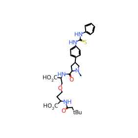 CN1CC(c2ccc(NC(=S)Nc3ccccc3)cc2)CC1C(=O)NC(COCCC(NC(=O)CC(C)(C)C)C(=O)O)C(=O)O